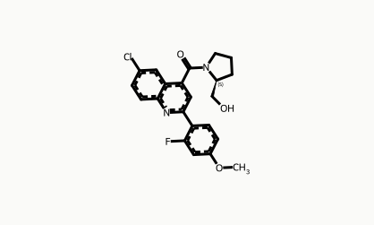 COc1ccc(-c2cc(C(=O)N3CCC[C@H]3CO)c3cc(Cl)ccc3n2)c(F)c1